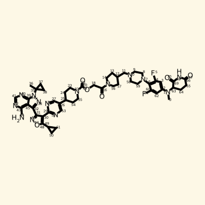 CN(c1cc(F)c(N2CCN(CC3CCN(C(=O)COC(=O)N4CCC(c5cnc(-c6c(-c7nn(C8(C)CC8)c8ncnc(N)c78)noc6C6CC6)nc5)CC4)CC3)CC2)c(F)c1)C1CCC(=O)NC1=O